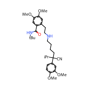 COc1ccc(C(C#N)(CCCCNCCc2cc(OC)c(OC)cc2C(=O)NC(C)(C)C)C(C)C)cc1OC